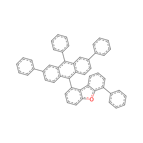 c1ccc(-c2ccc3c(-c4cccc5oc6c(-c7ccccc7)cccc6c45)c4ccc(-c5ccccc5)cc4c(-c4ccccc4)c3c2)cc1